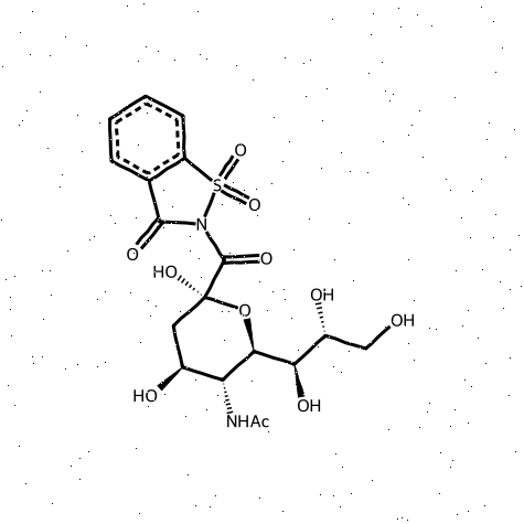 CC(=O)N[C@H]1[C@H]([C@H](O)[C@H](O)CO)O[C@](O)(C(=O)N2C(=O)c3ccccc3S2(=O)=O)C[C@@H]1O